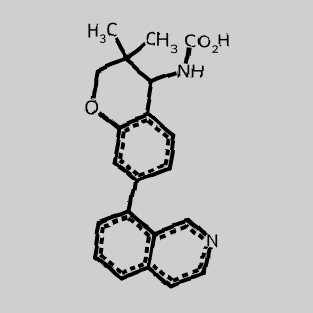 CC1(C)COc2cc(-c3cccc4ccncc34)ccc2C1NC(=O)O